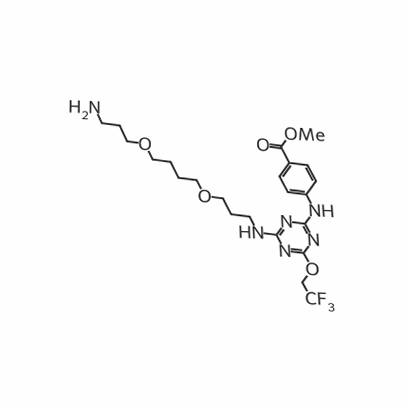 COC(=O)c1ccc(Nc2nc(NCCCOCCCCOCCCN)nc(OCC(F)(F)F)n2)cc1